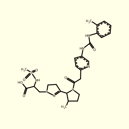 Cc1ccccc1NC(=O)Nc1ccc(CC(=O)N2CCC(C)C2C2=NN(CC(NS(C)(=O)=O)C(=O)O)CC2)nc1